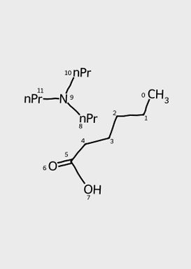 CCCCCC(=O)O.CCCN(CCC)CCC